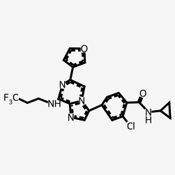 O=C(NC1CC1)c1ccc(-c2cnc3c(NCCC(F)(F)F)nc(-c4ccoc4)cn23)cc1Cl